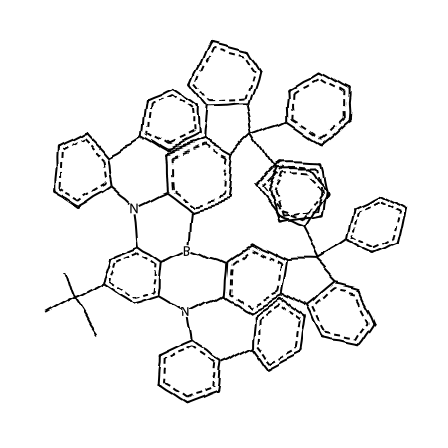 CC(C)(C)c1cc2c3c(c1)N(c1ccccc1-c1ccccc1)c1cc4c(cc1B3c1cc3c(cc1N2c1ccccc1-c1ccccc1)-c1ccccc1C3(c1ccccc1)c1ccccc1)C(c1ccccc1)(c1ccccc1)c1ccccc1-4